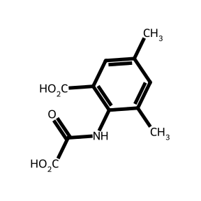 Cc1cc(C)c(NC(=O)C(=O)O)c(C(=O)O)c1